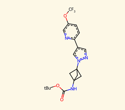 CC(C)(C)OC(=O)NC12CC(n3cc(-c4ccc(OC(F)(F)F)cn4)cn3)(C1)C2